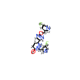 O=c1ccc(-c2cnc(OCc3cncc(F)c3)nc2)nn1Cc1cncc(F)c1